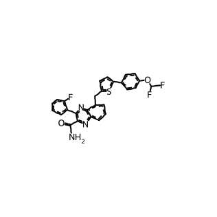 NC(=O)c1nc2cccc(Cc3ccc(-c4ccc(OC(F)F)cc4)s3)c2nc1-c1ccccc1F